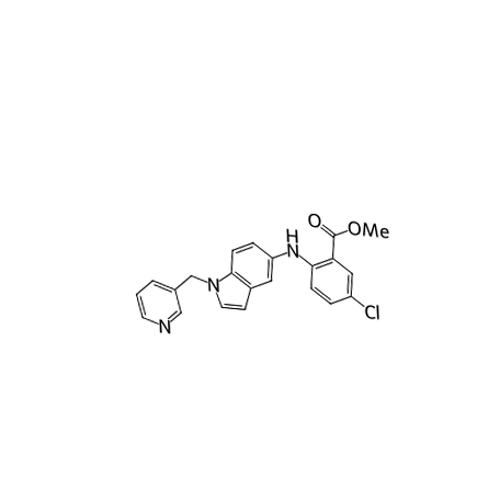 COC(=O)c1cc(Cl)ccc1Nc1ccc2c(ccn2Cc2cccnc2)c1